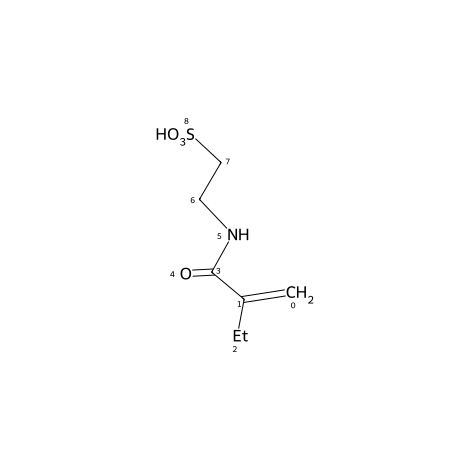 C=C(CC)C(=O)NCCS(=O)(=O)O